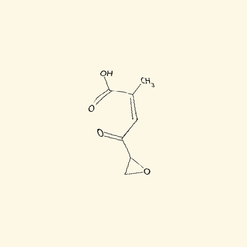 CC(=CC(=O)C1CO1)C(=O)O